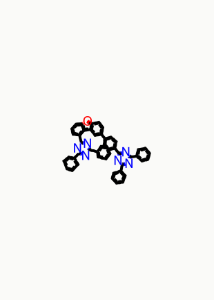 c1ccc(-c2nc(-c3ccccc3)nc(-c3ccc(-c4ccc5oc6cccc(-c7nc(-c8ccccc8)nc(-c8ccccc8)n7)c6c5c4)cc3)n2)cc1